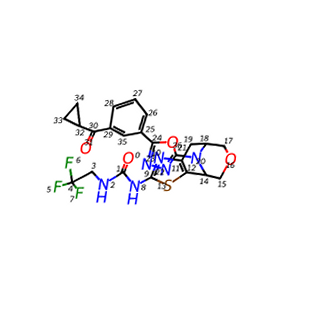 O=C(NCC(F)(F)F)Nc1nc2c(s1)C1COCC(C2)N1c1nnc(-c2cccc(C(=O)C3CC3)c2)o1